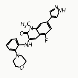 Cn1c(=O)c(Nc2ccccc2N2CCOCC2)cc2c(F)cc(-c3cn[nH]c3)cc21